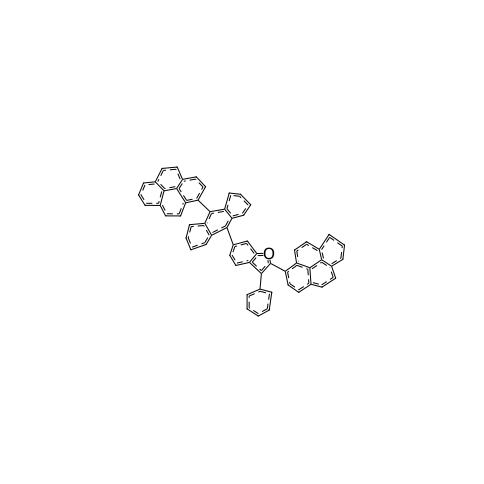 c1ccc(-c2c(-c3ccc4ccc5cccc6ccc3c4c56)oc3cc(-c4c5ccccc5c(-c5ccc6ccc7cccc8ccc5c6c78)c5ccccc45)ccc23)cc1